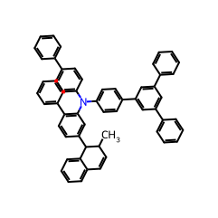 CC1C=Cc2ccccc2C1c1ccc(-c2ccccc2)c(N(c2ccc(-c3ccccc3)cc2)c2ccc(-c3cc(-c4ccccc4)cc(-c4ccccc4)c3)cc2)c1